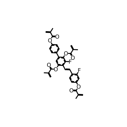 C=C(C)C(=O)Oc1ccc(-c2cc(OC(=O)C(=C)C)c(/C=C/c3ccc(OC(=O)C(=C)C)cc3F)c(F)c2OC(=O)C(=C)C)cc1